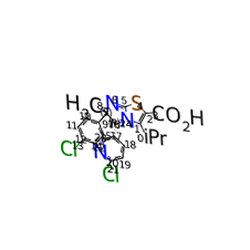 CC(C)C1=C(C(=O)O)SC2=N[C@@](C)(c3ccc(Cl)cc3)[C@@H](c3ccc(Cl)nc3)N21